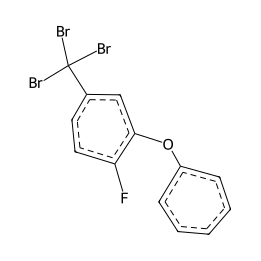 Fc1ccc(C(Br)(Br)Br)cc1Oc1ccccc1